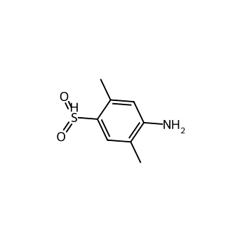 Cc1cc([SH](=O)=O)c(C)cc1N